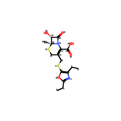 CCc1nc(CC)c(SCC2=C(C(=O)O)N3C(=O)[C@@H](O)[C@@H]3SC2)o1